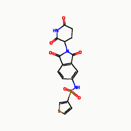 O=C1CCC(N2C(=O)c3ccc(NS(=O)(=O)c4ccsc4)cc3C2=O)C(=O)N1